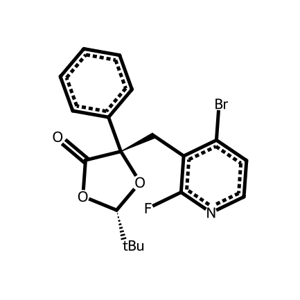 CC(C)(C)[C@@H]1OC(=O)[C@](Cc2c(Br)ccnc2F)(c2ccccc2)O1